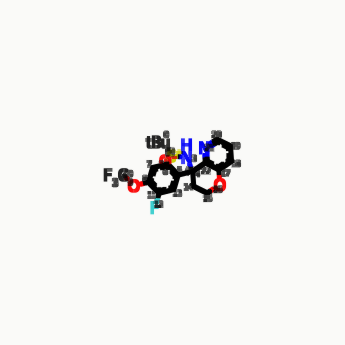 CC(C)(C)[S@@+]([O-])N[C@]1(c2ccc(OC(F)(F)F)c(F)c2)CCOc2cccnc21